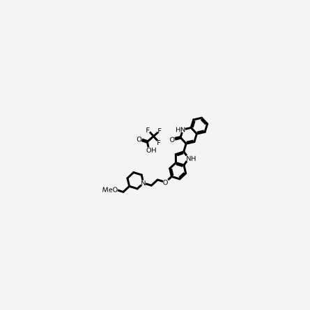 COCC1CCCN(CCOc2ccc3[nH]c(-c4cc5ccccc5[nH]c4=O)cc3c2)C1.O=C(O)C(F)(F)F